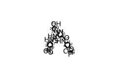 O=C(Nc1ccc(OC(F)(F)Cl)cc1)c1cnc(N2CCC(O)C2)c(NC(=S)Nc2ccc([N+](=O)[O-])cc2)c1